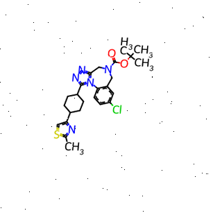 Cc1nc(C2CCC(c3nnc4n3-c3ccc(Cl)cc3CN(C(=O)OC(C)(C)C)C4)CC2)cs1